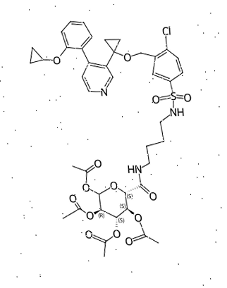 CC(=O)OC1O[C@H](C(=O)NCCCCNS(=O)(=O)c2ccc(Cl)c(COC3(c4cnccc4-c4ccccc4OC4CC4)CC3)c2)[C@@H](OC(C)=O)[C@H](OC(C)=O)[C@H]1OC(C)=O